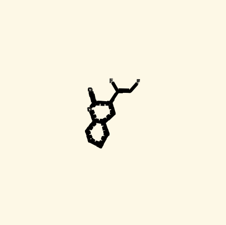 O=c1oc2ccccc2cc1C(F)=CF